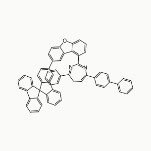 C1=C(c2ccc(-c3ccccc3)cc2)N=C(c2cccc3oc4ccc(-c5ccc6c(c5)-c5ccccc5C65c6ccccc6-c6ccccc65)cc4c23)N=C(c2ccccc2)C1